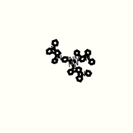 c1ccc(-n2c3ccccc3c3c4c5ccccc5n(-c5ccc(-c6nc(-n7c8ccccc8c8c9c%10ccccc%10n(-c%10ccccc%10)c9ccc87)nc(-n7c8ccccc8c8c9c%10ccccc%10n(-c%10ccccc%10)c9ccc87)n6)cc5)c4ccc32)cc1